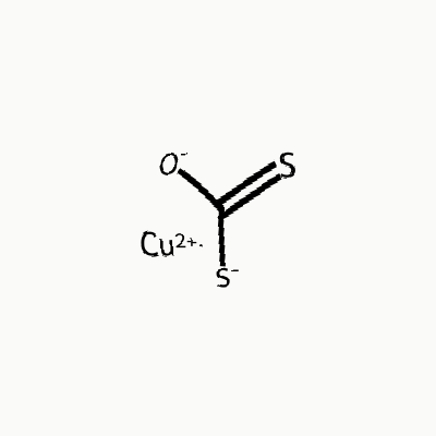 [Cu+2].[O-]C(=S)[S-]